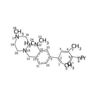 C/C=C(\C=C(\C)C(=O)CCC)c1ccc(CN2CCN(C)CC2)c(N(C)C)c1